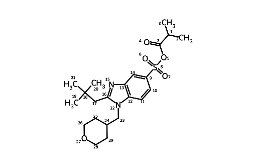 CC(C)C(=O)OS(=O)(=O)c1ccc2c(c1)nc(CC(C)(C)C)n2CC1CCOCC1